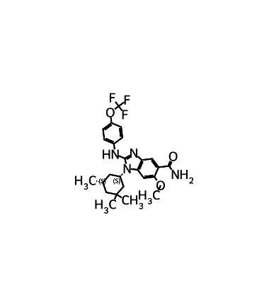 COc1cc2c(cc1C(N)=O)nc(Nc1ccc(OC(F)(F)F)cc1)n2[C@H]1C[C@@H](C)CC(C)(C)C1